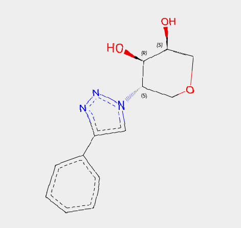 O[C@H]1[C@@H](O)COC[C@@H]1n1cc(-c2ccccc2)nn1